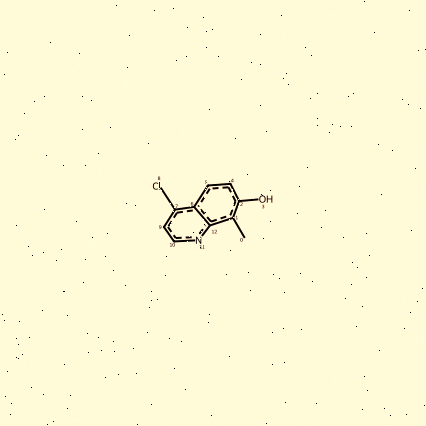 Cc1c(O)ccc2c(Cl)ccnc12